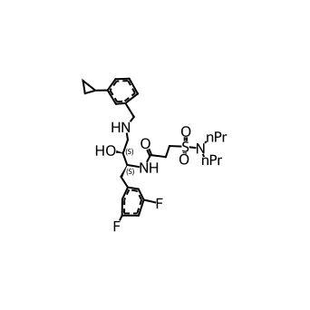 CCCN(CCC)S(=O)(=O)CCC(=O)N[C@@H](Cc1cc(F)cc(F)c1)[C@@H](O)CNCc1cccc(C2CC2)c1